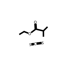 CCOC(=O)C(C)C.S=C=S